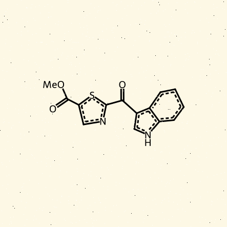 COC(=O)c1cnc(C(=O)c2c[nH]c3ccccc23)s1